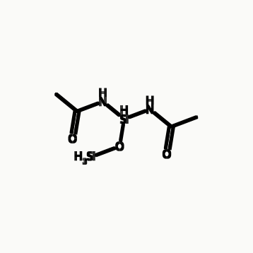 CC(=O)N[SiH](NC(C)=O)O[SiH3]